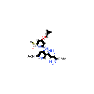 CO/C(N)=C/C=C(\N)c1cnc(NC(C)=O)cc1Nc1cc(OCC2CC2)cc([S+](C)[O-])n1